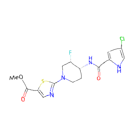 COC(=O)c1cnc(N2CC[C@@H](NC(=O)c3cc(Cl)c[nH]3)[C@@H](F)C2)s1